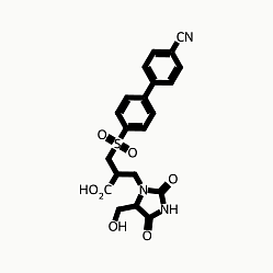 N#Cc1ccc(-c2ccc(S(=O)(=O)CC(CN3C(=O)NC(=O)C3CO)C(=O)O)cc2)cc1